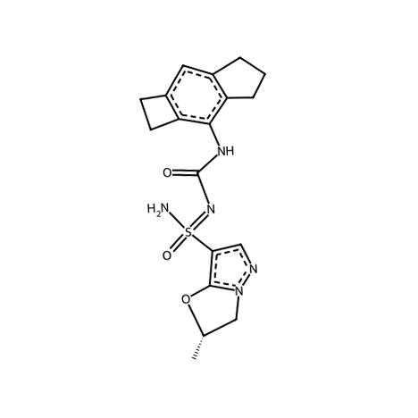 C[C@H]1Cn2ncc(S(N)(=O)=NC(=O)Nc3c4c(cc5c3CC5)CCC4)c2O1